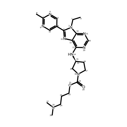 CCn1c(-c2cnc(C)nc2)nc2c(N[C@H]3CCN(C(=O)OCCCN(C)C)C3)ncnc21